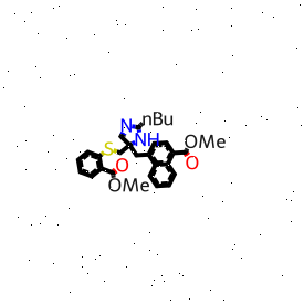 CCCCC1N=CC(CSc2ccccc2C(=O)OC)(Cc2ccc(C(=O)OC)c3ccccc23)N1